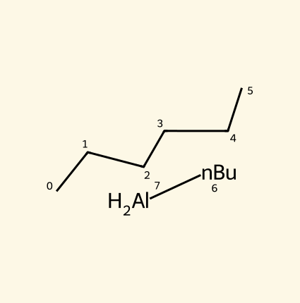 CCCCCC.CCC[CH2][AlH2]